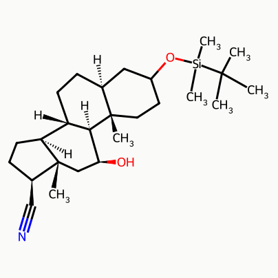 CC(C)(C)[Si](C)(C)OC1CC[C@@]2(C)[C@@H](CC[C@@H]3[C@@H]2[C@@H](O)C[C@]2(C)[C@@H](C#N)CC[C@@H]32)C1